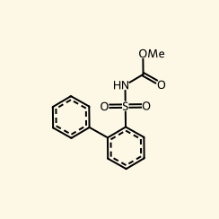 COC(=O)NS(=O)(=O)c1ccccc1-c1ccccc1